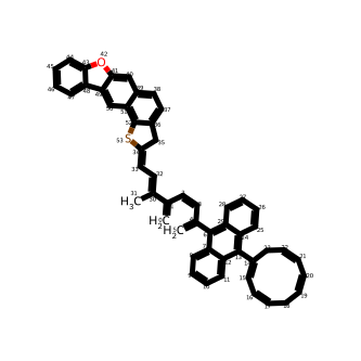 C=C(/C=C\C(=C)c1c2ccccc2c(/C2=C/C=C\C/C=C\C=C/C2)c2ccccc12)/C(C)=C/C=C1\Cc2ccc3cc4oc5ccccc5c4cc3c2S1